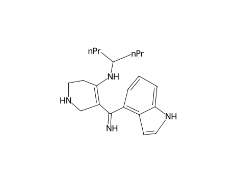 CCCC(CCC)NC1=C(C(=N)c2cccc3[nH]ccc23)CNCC1